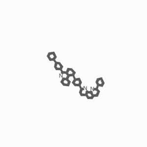 c1ccc(-c2ccc(-c3nc4ccccc4c4c(-c5ccc(-c6ccc7ccc8ccc(-c9ccccc9)nc8c7n6)cc5)cccc34)cc2)cc1